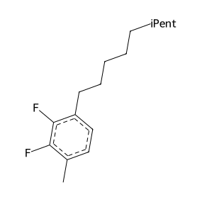 CCCC(C)CCCCCc1ccc(C)c(F)c1F